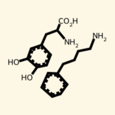 NC(Cc1ccc(O)c(O)c1)C(=O)O.NCCCCc1ccccc1